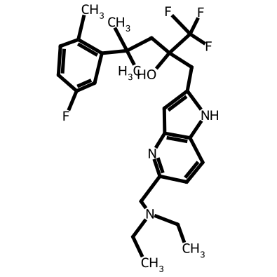 CCN(CC)Cc1ccc2[nH]c(CC(O)(CC(C)(C)c3cc(F)ccc3C)C(F)(F)F)cc2n1